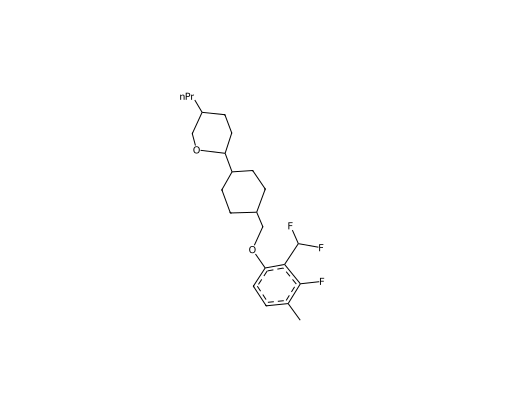 CCCC1CCC(C2CCC(COc3ccc(C)c(F)c3C(F)F)CC2)OC1